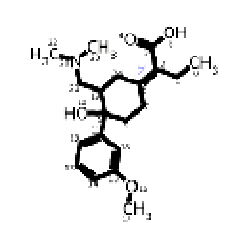 CC/C(C(=O)O)=C1\CCC(O)(c2cccc(OC)c2)C(CN(C)C)C1